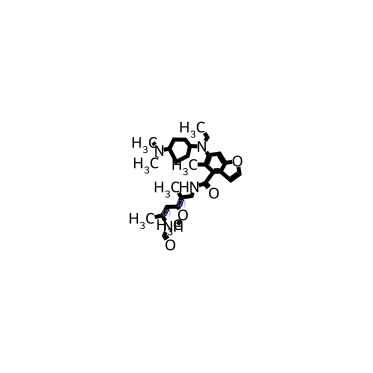 CCN(c1cc2occc2c(C(=O)NC/C(C)=C(/C=C(/C)NC=O)OC)c1C)C1CCC(N(C)C)CC1